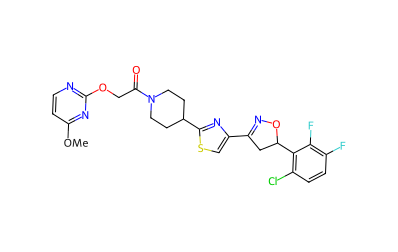 COc1ccnc(OCC(=O)N2CCC(c3nc(C4=NOC(c5c(Cl)ccc(F)c5F)C4)cs3)CC2)n1